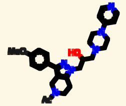 COc1ccc(-c2nn(CC(O)CN3CCN(c4ccncc4)CC3)c3c2CN(C(C)=O)CC3)cc1